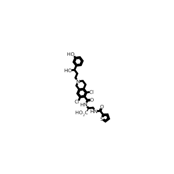 O=C(NC[C@H](NC(=O)c1c(Cl)cc2c(c1Cl)CCN(CCC(O)c1cccc(O)c1)C2)C(=O)O)c1cccs1